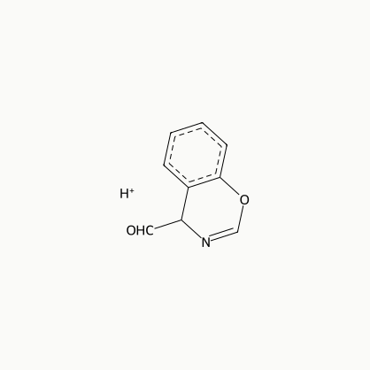 O=CC1N=COc2ccccc21.[H+]